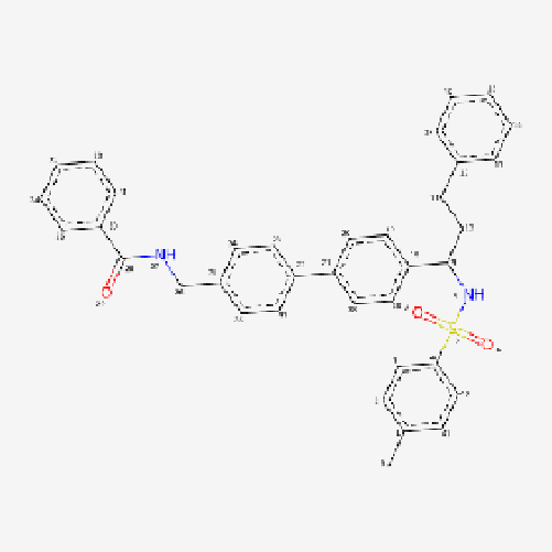 Cc1ccc(S(=O)(=O)NC(CCc2ccccc2)c2ccc(-c3ccc(CNC(=O)c4ccccc4)cc3)cc2)cc1